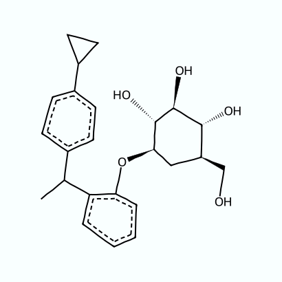 CC(c1ccc(C2CC2)cc1)c1ccccc1O[C@@H]1C[C@H](CO)[C@@H](O)[C@H](O)[C@H]1O